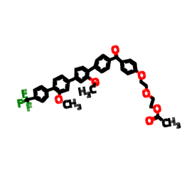 COc1cc(-c2ccc(-c3ccc(C(F)(F)F)cc3)c(OC)c2)ccc1-c1ccc(C(=O)c2ccc(OCCOCCOC(C)=O)cc2)cc1